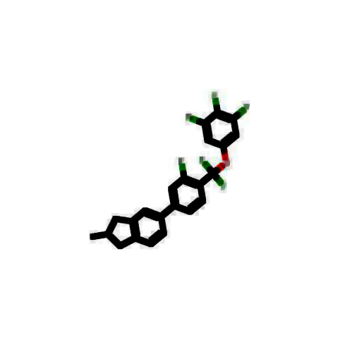 CC1Cc2ccc(-c3ccc(C(F)(F)Oc4cc(F)c(F)c(F)c4)c(F)c3)cc2C1